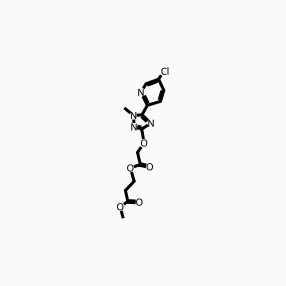 COC(=O)CCOC(=O)COc1nc(-c2ccc(Cl)cn2)n(C)n1